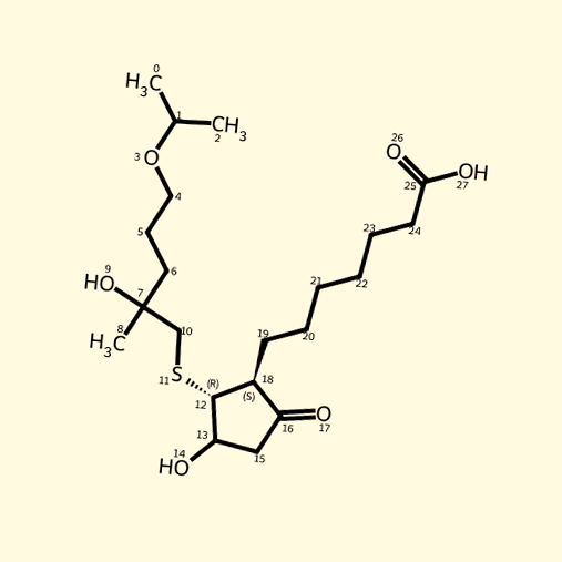 CC(C)OCCCC(C)(O)CS[C@H]1C(O)CC(=O)[C@@H]1CCCCCCC(=O)O